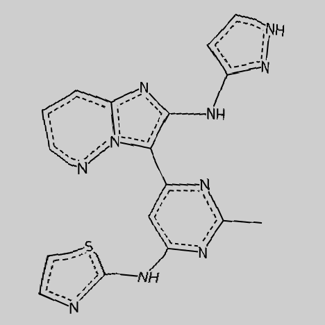 Cc1nc(Nc2nccs2)cc(-c2c(Nc3cc[nH]n3)nc3cccnn23)n1